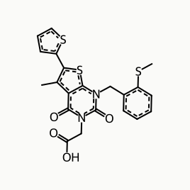 CSc1ccccc1Cn1c(=O)n(CC(=O)O)c(=O)c2c(C)c(-c3cccs3)sc21